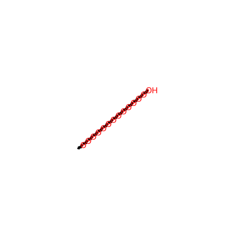 CCCCOCCCOCCCOCCCOCCCOCCCOCCCOCCCOCCCOCCCOCCCOCCCOCCCOCCCO